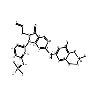 C=CCn1c(=O)c2cnc(Nc3cc(C)c4c(c3)CCN(C)C4)nc2n1-c1cccc(N=S(C)(C)=O)n1